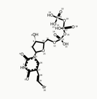 O=c1[nH]c(=O)n([C@H]2C[C@H](O)[C@@H](COP(=O)(O)OP(=O)(O)OP(=O)(O)O)O2)cc1C=CBr